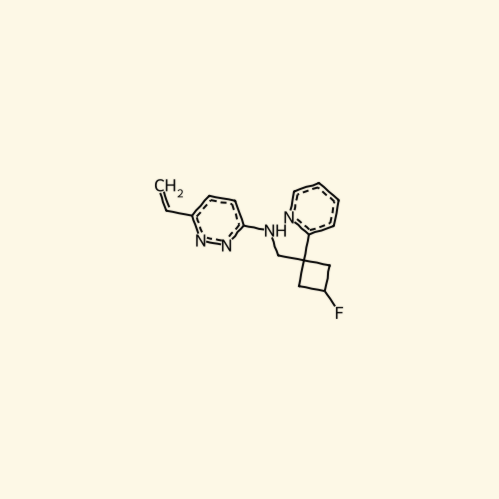 C=Cc1ccc(NCC2(c3ccccn3)CC(F)C2)nn1